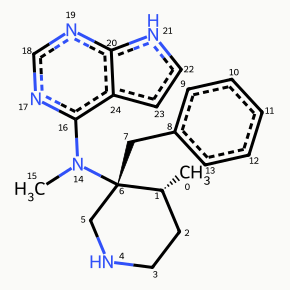 C[C@@H]1CCNC[C@]1(Cc1ccccc1)N(C)c1ncnc2[nH]ccc12